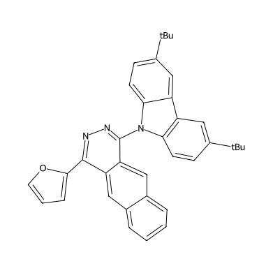 CC(C)(C)c1ccc2c(c1)c1cc(C(C)(C)C)ccc1n2-c1nnc(-c2ccco2)c2cc3ccccc3cc12